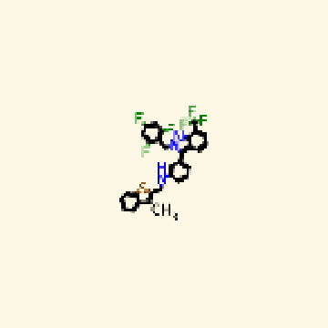 Cc1c(CNc2cccc(-c3c4cccc(C(F)(F)F)c4nn3Cc3c(F)cc(F)cc3F)c2)sc2ccccc12